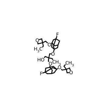 CCC1(COC23CC4CC(F)(C2)CC(OCC(CC)(CO)COC25CC6CC(F)(CC(OCC7(CC)COC7)(C6)C2)C5)(C4)C3)COC1